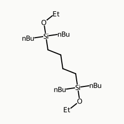 CCCC[Si](CCCC)(CCCC[Si](CCCC)(CCCC)OCC)OCC